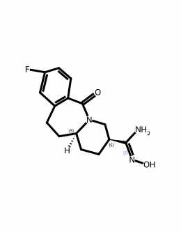 N/C(=N\O)[C@H]1CC[C@H]2CCc3cc(F)ccc3C(=O)N2C1